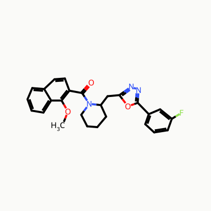 COc1c(C(=O)N2CCCCC2Cc2nnc(-c3cccc(F)c3)o2)ccc2ccccc12